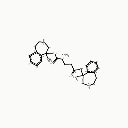 CC1(OC(=O)CC[C@@H](N)C(=O)OC2(C)CNCCc3ccccc32)CNCCc2ccccc21